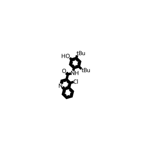 CC(C)(C)c1cc(C(C)(C)C)c(NC(=O)c2cnc3ccccc3c2Cl)cc1O